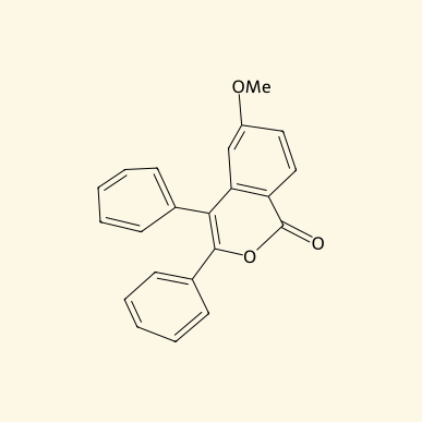 COc1ccc2c(=O)oc(-c3ccccc3)c(-c3ccccc3)c2c1